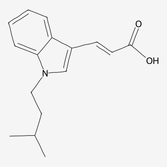 CC(C)CCn1cc(C=CC(=O)O)c2ccccc21